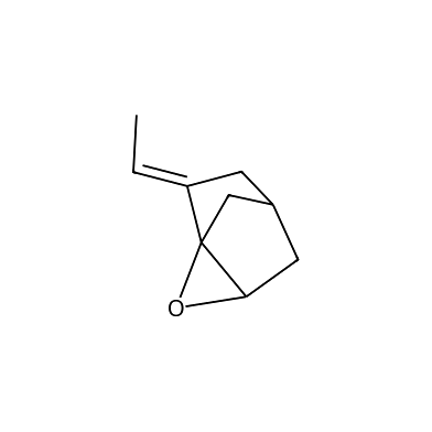 CC=C1CC2CC3OC13C2